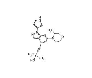 CC1COCCN1c1cc(C#CC(C)(C)O)c2cnn(-c3cc[nH]n3)c2n1